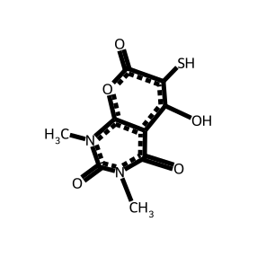 Cn1c(=O)c2c(O)c(S)c(=O)oc2n(C)c1=O